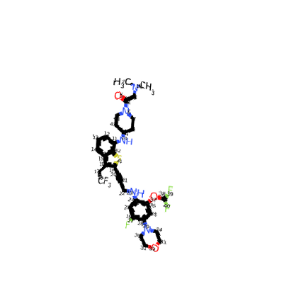 CN(C)CC(=O)N1CCC(Nc2cccc3c(CC(F)(F)F)c(C#CCNc4cc(F)c(N5CCOCC5)cc4OC(F)F)sc23)CC1